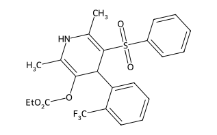 CCOC(=O)OC1=C(C)NC(C)=C(S(=O)(=O)c2ccccc2)C1c1ccccc1C(F)(F)F